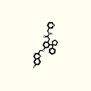 O=C(Cc1ccc(OCc2ccc3cc(F)ccc3n2)cc1C1(c2ccccc2)CCCC1)NCc1cccnc1